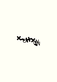 CC(C)(C)CCOC(C)(C)C(C)(C)CC(C)(C)n1ccnn1